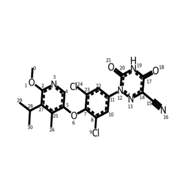 COc1ncc(Oc2c(Cl)cc(-n3nc(C#N)c(=O)[nH]c3=O)cc2Cl)c(C)c1C(C)C